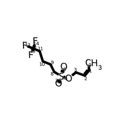 C/C=C\COS(=O)(=O)CCCCC(F)(F)F